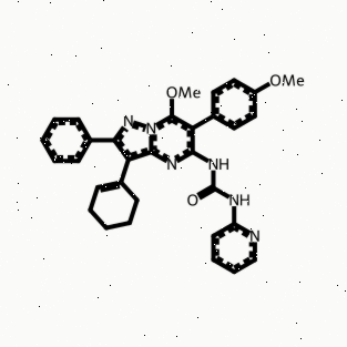 COc1ccc(-c2c(NC(=O)Nc3ccccn3)nc3c(C4=CCCCC4)c(-c4ccccc4)nn3c2OC)cc1